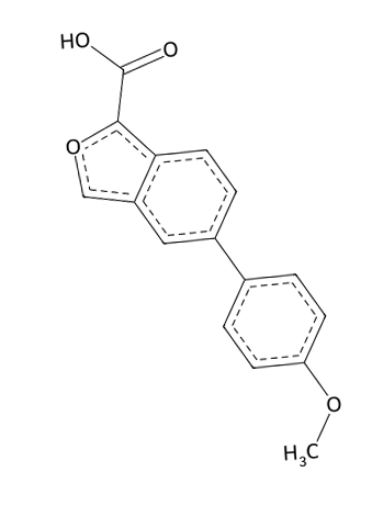 COc1ccc(-c2ccc3c(C(=O)O)occ3c2)cc1